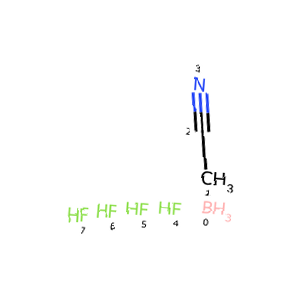 B.CC#N.F.F.F.F